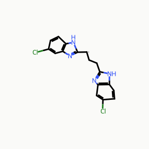 Clc1ccc2[nH]c([CH]CCc3nc4cc(Cl)ccc4[nH]3)nc2c1